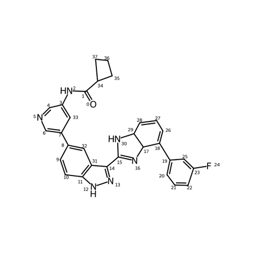 O=C(Nc1cncc(-c2ccc3[nH]nc(C4=NC5C(c6cccc(F)c6)=CC=CC5N4)c3c2)c1)C1CCC1